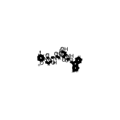 COc1ccc(I)cc1N1CCC(=O)N(CNC(=O)CNC(=O)C(CC(=O)O)NC(=O)OCC2c3ccccc3-c3ccccc32)C1=O